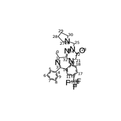 CC1N=C(c2ccccc2)c2cc(C(F)(F)F)ccc2N2CC(=O)N(CN3CCCC3)N=C12